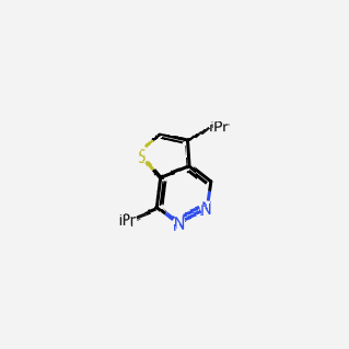 CC(C)c1csc2c(C(C)C)nncc12